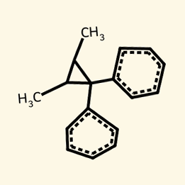 CC1C(C)C1(c1ccccc1)c1ccccc1